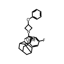 CO[C@]12CC3CC(C1)[C@](CC(=O)N1CC(Oc4ccccc4)C1)(c1ccc(F)cc1)C(C3)C2